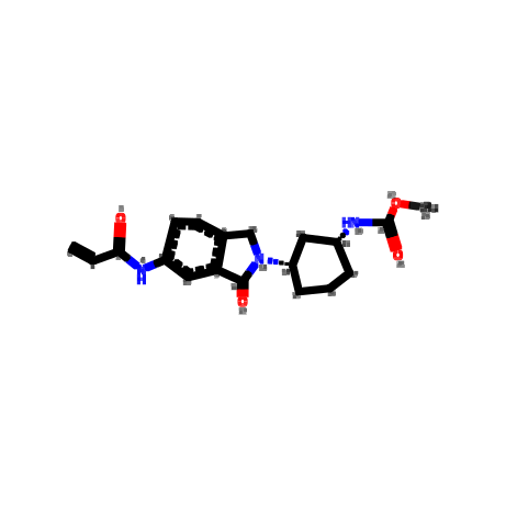 C=CC(=O)Nc1ccc2c(c1)C(=O)N([C@H]1CCC[C@@H](NC(=O)OC(C)(C)C)C1)C2